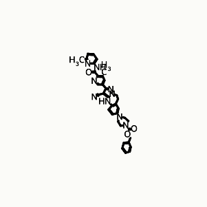 Cc1cccc(NC(=O)c2ncc(-c3nn4c(c3C#N)Nc3ccc(N5CCN(C(=O)OCc6ccccc6)CC5)cc3CC4)cc2C)n1